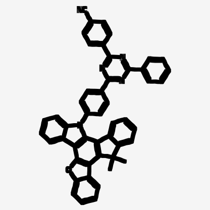 CC1(C)c2ccccc2-c2c1c1c3ccccc3oc1c1c3ccccc3n(-c3ccc(-c4nc(-c5ccccc5)nc(-c5ccc(C#N)cc5)n4)cc3)c21